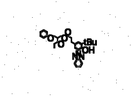 C=CC(=O)C(COC(=O)CCc1cc(-n2nc3ccccc3n2)c(O)c(C(C)(C)C)c1)COc1ccccc1